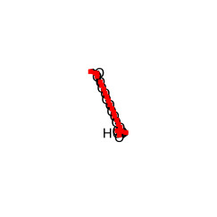 CCC(C)(C)C(=O)OCCOCCOCCOCCOCCOCCOCCOCCOCCOC(=O)C1CCCCC1C(=O)O